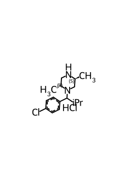 CC(C)C(c1ccc(Cl)cc1)N1C[C@H](C)NC[C@H]1C.Cl